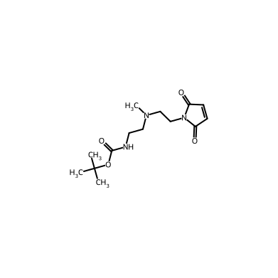 CN(CCNC(=O)OC(C)(C)C)CCN1C(=O)C=CC1=O